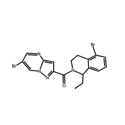 CCC1c2cccc(Br)c2CCN1C(=O)c1cc2ncc(Br)cn2n1